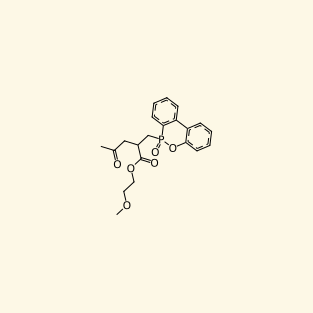 COCCOC(=O)C(CC(C)=O)CP1(=O)Oc2ccccc2-c2ccccc21